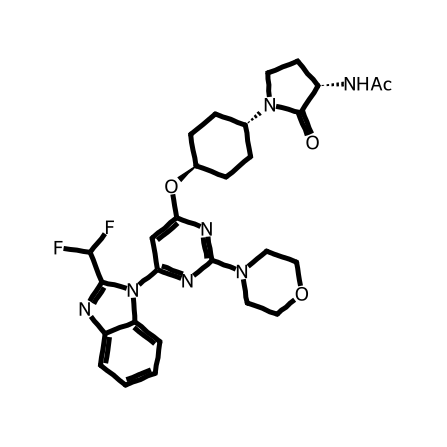 CC(=O)N[C@H]1CCN([C@H]2CC[C@H](Oc3cc(-n4c(C(F)F)nc5ccccc54)nc(N4CCOCC4)n3)CC2)C1=O